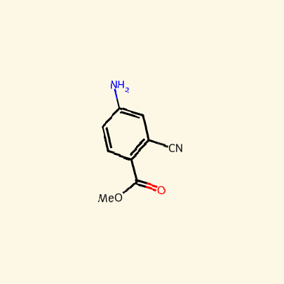 COC(=O)c1ccc(N)cc1C#N